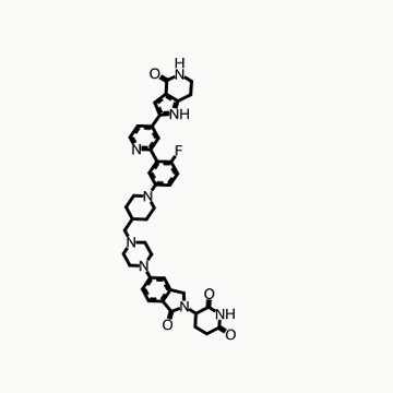 O=C1CCC(N2Cc3cc(N4CCN(CC5CCN(c6ccc(F)c(-c7cc(-c8cc9c([nH]8)CCNC9=O)ccn7)c6)CC5)CC4)ccc3C2=O)C(=O)N1